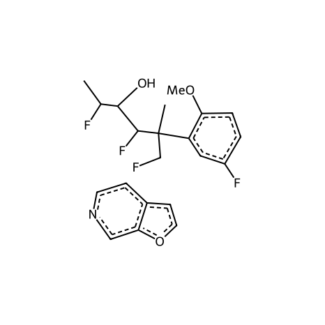 COc1ccc(F)cc1C(C)(CF)C(F)C(O)C(C)F.c1cc2ccoc2cn1